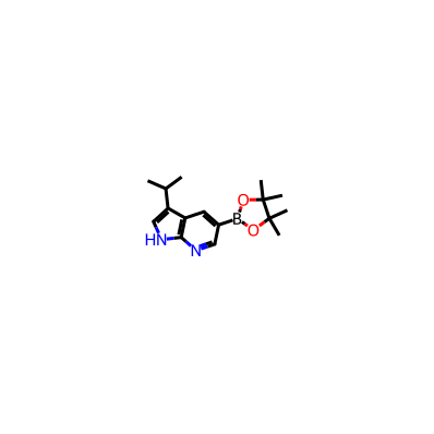 CC(C)c1c[nH]c2ncc(B3OC(C)(C)C(C)(C)O3)cc12